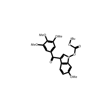 COc1ccc2c(C(=O)c3cc(OC)c(OC)c(OC)c3)cn(OC(=O)OC(C)(C)C)c2c1